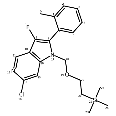 Cc1ccccc1-c1c(F)c2cnc(Cl)cc2n1COCC[Si](C)(C)C